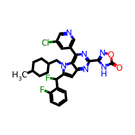 CC1CCC(Cn2c(C(F)c3ccccc3F)cc3nc(-c4noc(=O)[nH]4)nc(-c4cncc(Cl)c4)c32)CC1